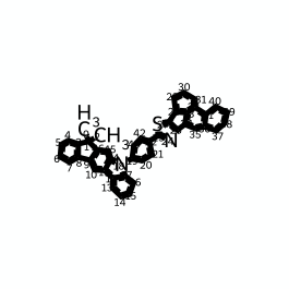 CC1(C)c2ccccc2-c2cc3c4ccccc4n(-c4ccc(-c5nc6c(s5)-c5cccc7c5c-6cc5ccccc57)cc4)c3cc21